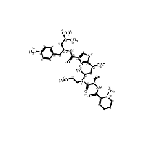 CCC(C)C(NC(=O)C1CCCCN1C)C(=O)N(CCOC)C(CC(OC(C)=O)c1nc(C(=O)NC(Cc2ccc(C)cc2)CC(C)C(=O)O)cs1)C(C)C